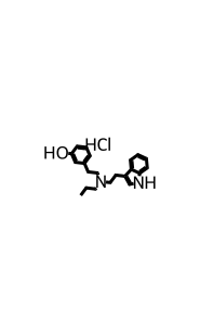 CCCN(CCc1cccc(O)c1)CCc1c[nH]c2ccccc12.Cl